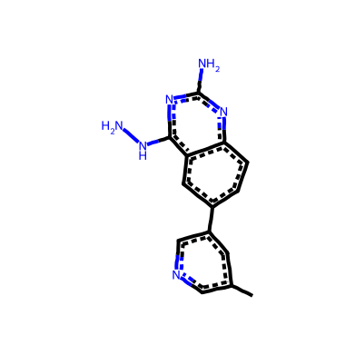 Cc1cncc(-c2ccc3nc(N)nc(NN)c3c2)c1